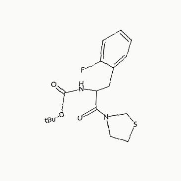 CC(C)(C)OC(=O)NC(Cc1ccccc1F)C(=O)N1CCSC1